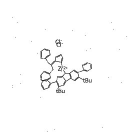 CC(C)(C)c1cc2c(cc1-c1ccccc1)[CH]([Zr+2][C]1=CC=CC1=C(Cc1ccccc1)Cc1ccccc1)c1cc(-c3ccccc3)c(C(C)(C)C)cc1-2.[Cl-].[Cl-]